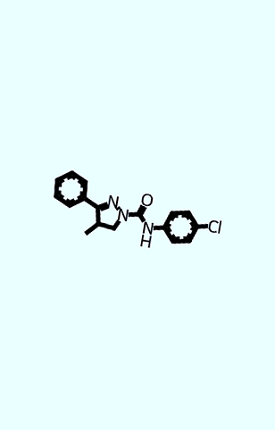 CC1CN(C(=O)Nc2ccc(Cl)cc2)N=C1c1ccccc1